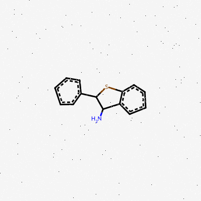 NC1c2ccccc2SC1c1ccccc1